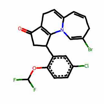 O=C1CC(c2cc(Cl)ccc2OC(F)F)C2=C1CC=C1C=CCC(Br)=CN12